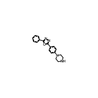 c1ccc(-c2nnc(-c3ccc(N4CCNCC4)cc3)o2)cc1